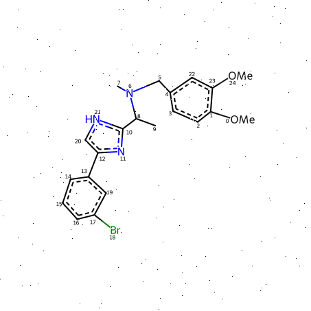 COc1ccc(CN(C)C(C)c2nc(-c3cccc(Br)c3)c[nH]2)cc1OC